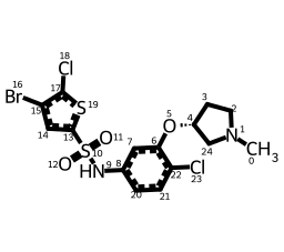 CN1CC[C@@H](Oc2cc(NS(=O)(=O)c3cc(Br)c(Cl)s3)ccc2Cl)C1